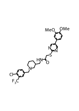 COc1ccc(-c2cnc(SCC(=O)NCC3CCCN(Cc4ccc(Cl)c(C(F)(F)F)c4)C3)nc2)cc1OC